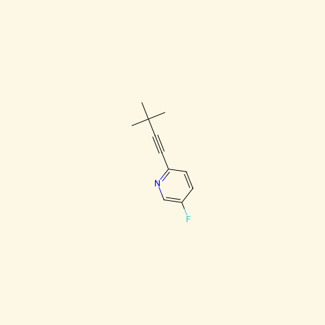 CC(C)(C)C#Cc1ccc(F)cn1